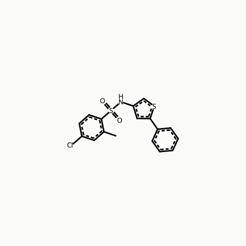 Cc1cc(Cl)ccc1S(=O)(=O)Nc1csc(-c2ccccc2)c1